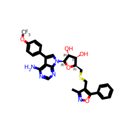 Cc1noc(-c2ccccc2)c1CSC[C@H]1O[C@@H](n2cc(-c3ccc(OC(F)(F)F)cc3)c3c(N)ncnc32)[C@H](O)[C@@H]1O